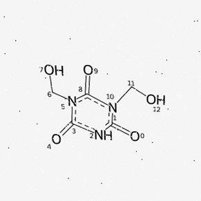 O=c1[nH]c(=O)n(CO)c(=O)n1CO